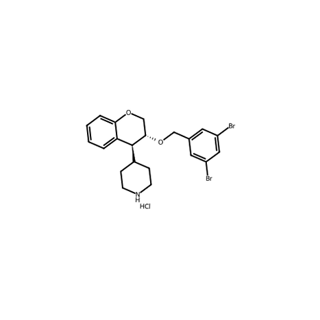 Brc1cc(Br)cc(CO[C@H]2COc3ccccc3[C@@H]2C2CCNCC2)c1.Cl